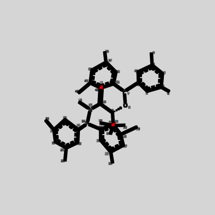 Cc1cc(C)cc(P(O[C@@H](C(=O)N(C)P(c2cc(C)cc(C)c2)c2cc(C)cc(C)c2)C(C)(C)C)c2cc(C)cc(C)c2)c1